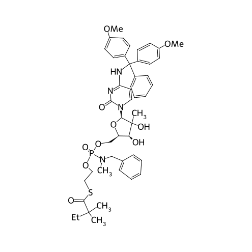 CCC(C)(C)C(=O)SCCOP(=O)(OC[C@H]1O[C@@H](n2ccc(NC(c3ccccc3)(c3ccc(OC)cc3)c3ccc(OC)cc3)nc2=O)C(C)(O)[C@H]1O)N(C)Cc1ccccc1